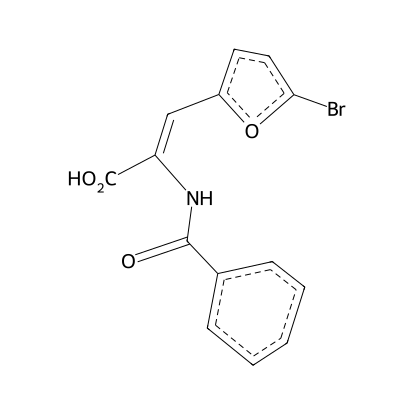 O=C(O)/C(=C/c1ccc(Br)o1)NC(=O)c1ccccc1